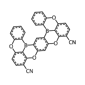 N#Cc1ccc2c3c1Oc1cc4c(cc1B3c1ccccc1O2)B1c2ccccc2Oc2ccc(C#N)c(c21)O4